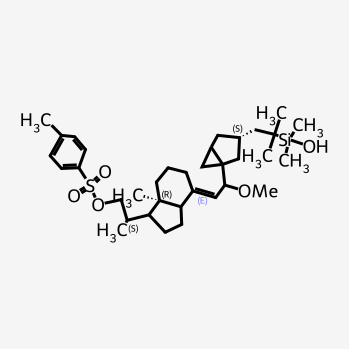 COC(/C=C1\CCC[C@@]2(C)C1CCC2[C@H](C)COS(=O)(=O)c1ccc(C)cc1)C12CC1C[C@H](CC(C)(C)[Si](C)(C)O)C2